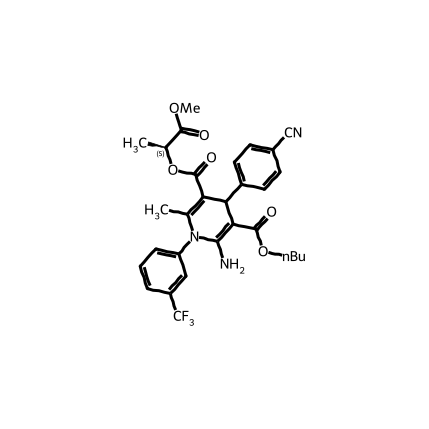 CCCCOC(=O)C1=C(N)N(c2cccc(C(F)(F)F)c2)C(C)=C(C(=O)O[C@@H](C)C(=O)OC)C1c1ccc(C#N)cc1